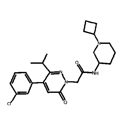 CC(C)c1nn(CC(=O)NC2CCCN(C3CCC3)C2)c(=O)cc1-c1cccc(Cl)c1